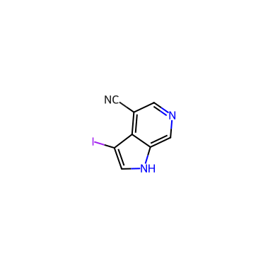 N#Cc1cncc2[nH]cc(I)c12